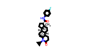 C[C@]12CC[C@H]3[C@@H](CC=C4N(C5CC5)C(=O)CC[C@@]43C)[C@@H]1CC[C@@H]2C(=O)Nc1ccc(F)cc1